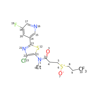 CCN(C(=O)CC[S+]([O-])CCC(F)(F)F)c1sc(-c2cncc(F)c2)nc1Cl